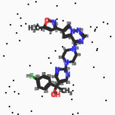 Cc1cc(-c2cc3c(N4CCN(c5ncc([C@](C)(O)c6ccc(F)cc6)cn5)CC4)ncnn3c2)no1